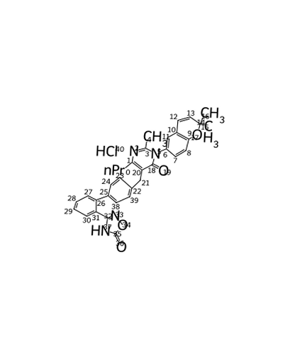 CCCc1nc(C)n(-c2ccc3c(c2)C=CC(C)(C)O3)c(=O)c1Cc1ccc(-c2ccccc2-c2noc(=O)[nH]2)cc1.Cl